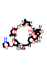 C=C1C[C@@H]2CC[C@@]3(O)C[C@H]4OC5[C@@H]6[C@@H](O[C@H]7CC[C@H](CC(=O)C[C@@H]8[C@@H](OC)[C@@H](C[C@H]9CNCCO9)O[C@H]8C[C@H]8O[C@H](CCC8=C)CC[C@@H]1O2)O[C@@H]7[C@@H]6O3)[C@@H]54